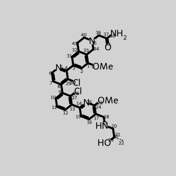 COc1cc(-c2nccc(-c3cccc(-c4ccc(CNC[C@H](C)O)c(OC)n4)c3Cl)c2Cl)cc2c1CN(CC(N)=O)CC2